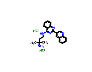 CC(C)(N)CCNc1nc(-c2cnc3ccccc3c2)nc2ccccc12.Cl.Cl